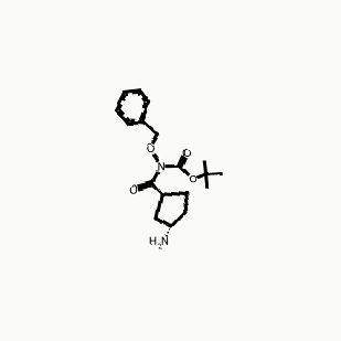 CC(C)(C)OC(=O)N(OCc1ccccc1)C(=O)[C@H]1CC[C@H](N)C1